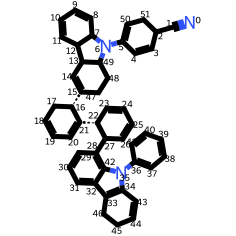 N#CC1C=CC(N2C3C=CC=CC3C3C=C([C@H]4CC=CC=C4[C@@H]4C=CC=CC4c4cccc5c6c(n(-c7ccccc7)c45)C=CCC6)CCC32)=CC1